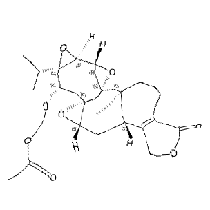 CC(=O)OCO[C@@H]1[C@@]2(C(C)C)O[C@H]2[C@@H]2O[C@]23[C@]12O[C@H]2C[C@H]1C2=C(CC[C@@]13C)C(=O)OC2